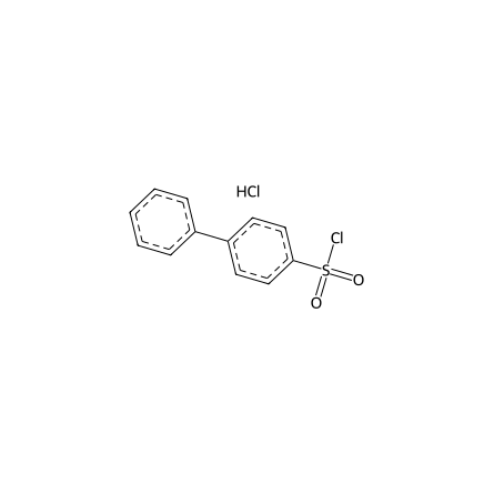 Cl.O=S(=O)(Cl)c1ccc(-c2ccccc2)cc1